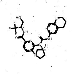 O=C(NC(CO)C(F)(F)F)c1ccc2c(n1)N(C(=O)Nc1cc3c(cn1)OCCC3)[C@H]1CCN2C1